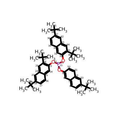 CC(C)(C)c1ccc2cc(OP(Oc3cc4ccc(C(C)(C)C)cc4cc3C(C)(C)C)Oc3cc4ccc(C(C)(C)C)cc4cc3C(C)(C)C)ccc2c1